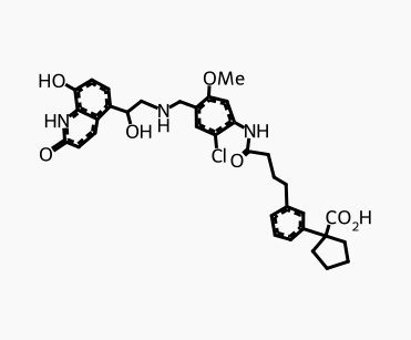 COc1cc(NC(=O)CCCc2cccc(C3(C(=O)O)CCCC3)c2)c(Cl)cc1CNCC(O)c1ccc(O)c2[nH]c(=O)ccc12